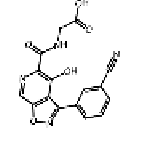 N#Cc1cccc(-c2noc3cnc(C(=O)NCC(=O)O)c(O)c23)c1